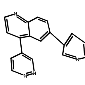 [c]1cncc(-c2ccc3nccc(-c4ccnnc4)c3c2)c1